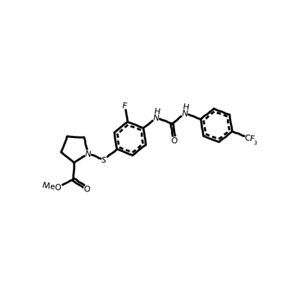 COC(=O)C1CCCN1Sc1ccc(NC(=O)Nc2ccc(C(F)(F)F)cc2)c(F)c1